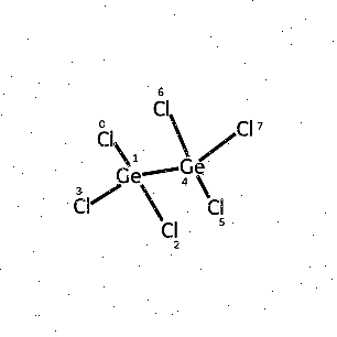 [Cl][Ge]([Cl])([Cl])[Ge]([Cl])([Cl])[Cl]